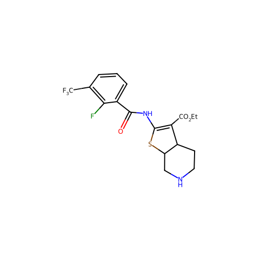 CCOC(=O)C1=C(NC(=O)c2cccc(C(F)(F)F)c2F)SC2CNCCC12